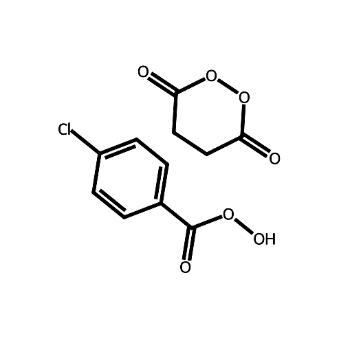 O=C(OO)c1ccc(Cl)cc1.O=C1CCC(=O)OO1